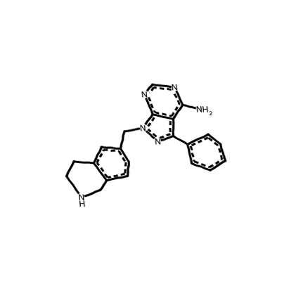 Nc1ncnc2c1c(-c1ccccc1)nn2Cc1ccc2c(c1)CCNC2